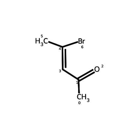 CC(=O)/C=C(/C)Br